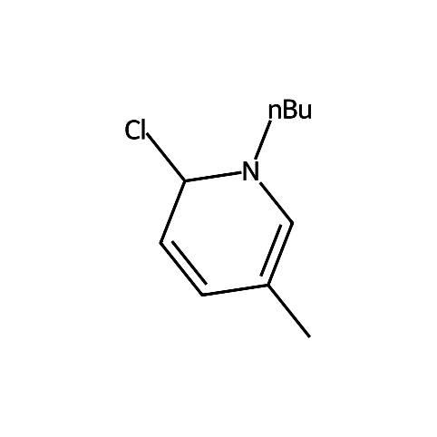 CCCCN1C=C(C)C=CC1Cl